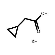 O=C(O)CC1CC1.[KH]